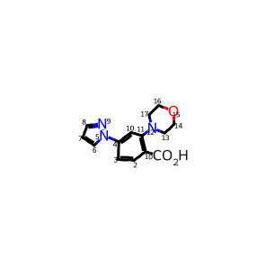 O=C(O)c1ccc(-n2cccn2)cc1N1CCOCC1